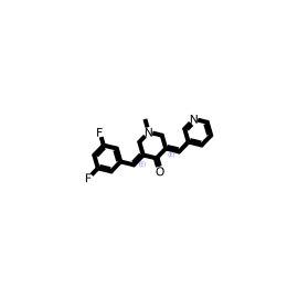 CN1C/C(=C\c2cccnc2)C(=O)/C(=C/c2cc(F)cc(F)c2)C1